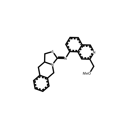 COCc1cc2c(N=C3SCC4Cc5ccccc5CN34)cccc2cn1